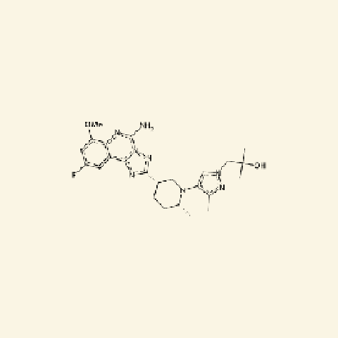 COc1cc(F)cc2c1nc(N)n1nc([C@H]3CC[C@@H](C)N(c4cn(CC(C)(C)O)nc4C)C3)nc21